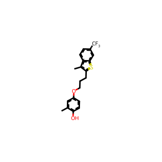 Cc1cc(OCCCc2sc3cc(C(F)(F)F)ccc3c2C)ccc1O